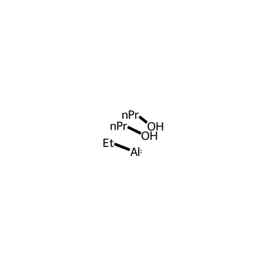 CCCO.CCCO.C[CH2][Al]